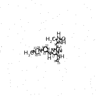 C=c1[nH]c(=O)[nH]/c1=C\c1cnn2c(NC3CC3)cc(Nc3cccc(N4CCN(C)CC4)c3)nc12